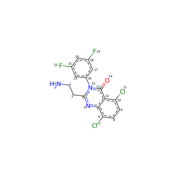 NCCc1nc2c(Cl)ccc(Cl)c2c(=O)n1-c1cc(F)cc(F)c1